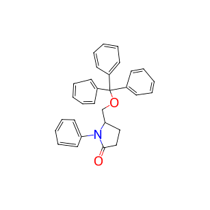 O=C1CCC(COC(c2ccccc2)(c2ccccc2)c2ccccc2)N1c1ccccc1